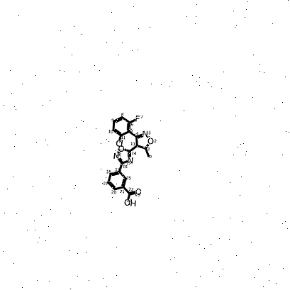 CC1ON=C(c2c(F)cccc2Cl)C1c1nc(-c2cccc(C(=O)O)c2)no1